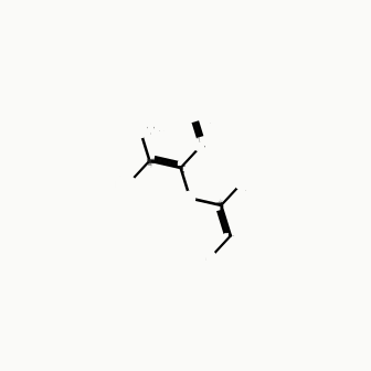 C=N/C(S/C(C)=C\C)=C(/C)SC